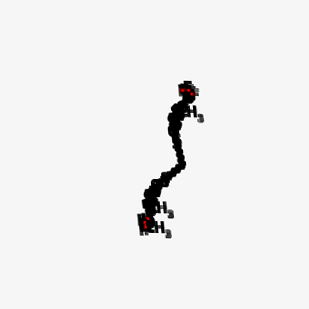 CC12CCC3c4ccc(OCCSSCCCCCC/C=C\CCCCCCSSCCOc5ccc6c(c5)CCC5C6CCC6(C)C(OCCCOC(CF)(C(F)(F)F)C(F)(F)F)CCC56)cc4CCC3C1CCC2OCCCOC(C)(C(F)(F)F)C(F)(F)F